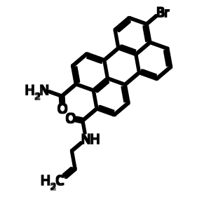 C=CCNC(=O)c1ccc2c3cccc4c(Br)ccc(c5ccc(C(N)=O)c1c52)c43